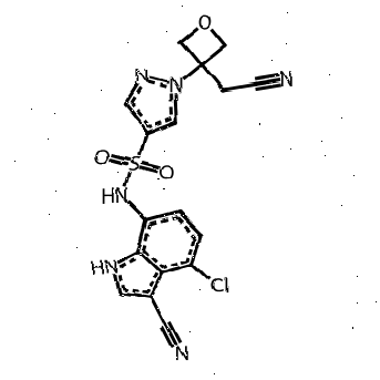 N#CCC1(n2cc(S(=O)(=O)Nc3ccc(Cl)c4c(C#N)c[nH]c34)cn2)COC1